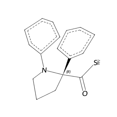 O=C([Si])[C@]1(c2ccccc2)CCCN1c1ccccc1